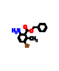 Cc1c(Br)ccc(N)c1C(=O)OCc1ccccc1